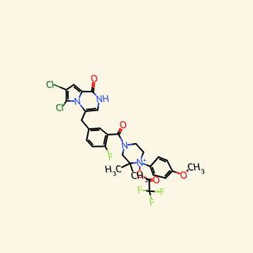 COc1ccc([N+]2(OC(=O)C(F)(F)F)CCN(C(=O)c3cc(Cc4c[nH]c(=O)c5cc(Cl)c(Cl)n45)ccc3F)CC2(C)C)cc1